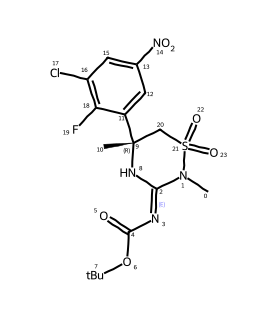 CN1/C(=N/C(=O)OC(C)(C)C)N[C@](C)(c2cc([N+](=O)[O-])cc(Cl)c2F)CS1(=O)=O